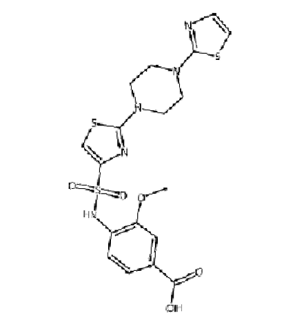 COc1cc(C(=O)O)ccc1NS(=O)(=O)c1csc(N2CCN(c3nccs3)CC2)n1